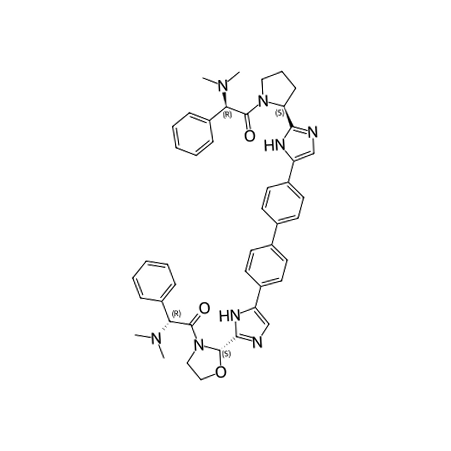 CN(C)[C@@H](C(=O)N1CCC[C@H]1c1ncc(-c2ccc(-c3ccc(-c4cnc([C@@H]5OCCN5C(=O)[C@@H](c5ccccc5)N(C)C)[nH]4)cc3)cc2)[nH]1)c1ccccc1